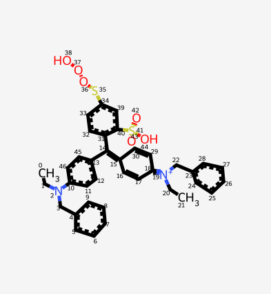 CCN(Cc1ccccc1)c1ccc(C(=C2C=CC(=[N+](CC)Cc3ccccc3)C=C2)c2ccc(SOOO)cc2S(=O)(=O)O)cc1